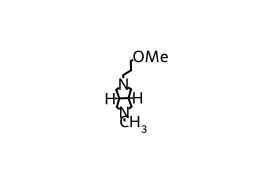 COCCCN1C[C@H]2CN(C)C[C@H]2C1